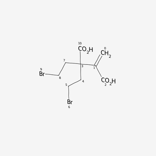 C=C(C(=O)O)C(CCBr)(CCBr)C(=O)O